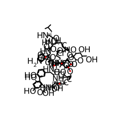 CN[C@H](CC(C)C)C(=O)NC1C(=O)N[C@@H](CC(N)=O)C(=O)N[C@H]2C(=O)NC3C(=O)N[C@H](C(=O)N[C@@H](C(=O)O)c4cc(O)cc(O)c4-c4cc3ccc4O)[C@H](O)c3ccc(c(Cl)c3)Oc3cc2cc(c3OC2OC(CO)C(O)C(O)C2OC2CC(C)(NCC(OCc3ccccc3)C(=O)O)C(O)C(C)O2)Oc2ccc(cc2Cl)[C@H]1O